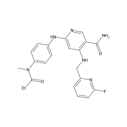 CCC(=O)N(C)c1ccc(Nc2cc(NCc3cccc(F)n3)c(C(N)=O)cn2)cc1